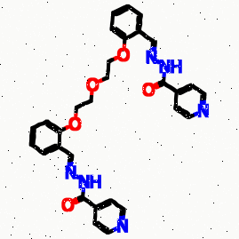 O=C(NN=Cc1ccccc1OCCOCCOc1ccccc1C=NNC(=O)c1ccncc1)c1ccncc1